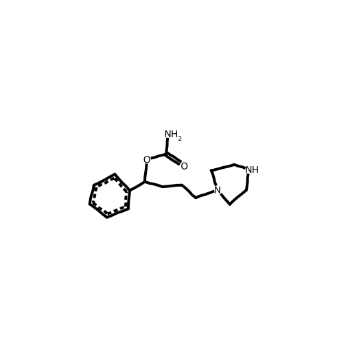 NC(=O)OC(CCCN1CCNCC1)c1ccccc1